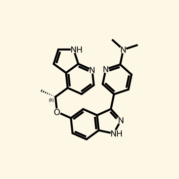 C[C@@H](Oc1ccc2[nH]nc(-c3ccc(N(C)C)nc3)c2c1)c1ccnc2[nH]ccc12